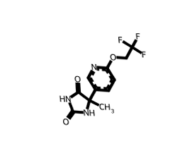 CC1(c2ccc(OCC(F)(F)F)nc2)NC(=O)NC1=O